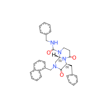 O=C1[C@H](Cc2ccccc2)N2C(=O)CCN(C(=O)NCc3ccccc3)[C@H]2CN1Cc1cccc2ccccc12